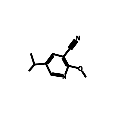 COc1ncc(C(C)C)cc1C#N